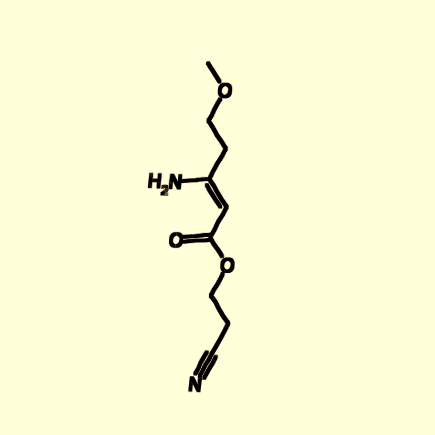 COCC/C(N)=C/C(=O)OCCC#N